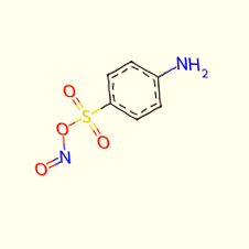 Nc1ccc(S(=O)(=O)ON=O)cc1